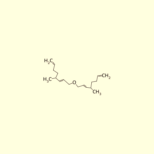 C=CCCC(C)/C=C/COC/C=C/C(C)CCC=C